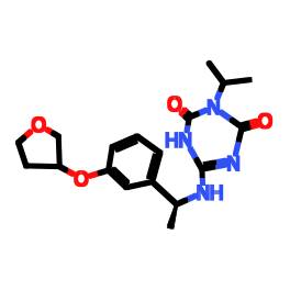 CC(C)n1c(=O)nc(N[C@@H](C)c2cccc(OC3CCOC3)c2)[nH]c1=O